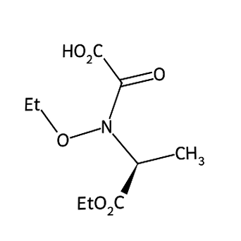 CCOC(=O)[C@H](C)N(OCC)C(=O)C(=O)O